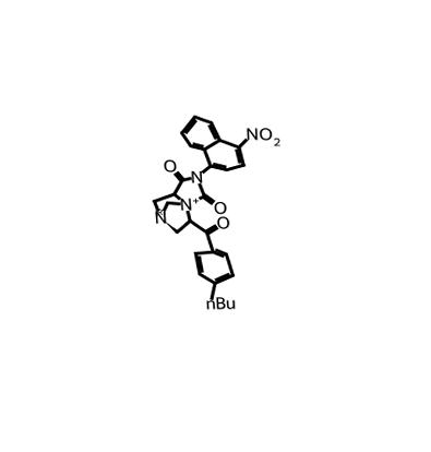 CCCCc1ccc(C(=O)C2C[N@@]3CC4C(=O)N(c5ccc([N+](=O)[O-])c6ccccc56)C(=O)[N+]24C3)cc1